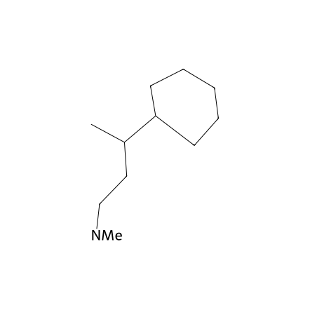 CNCCC(C)C1CCCCC1